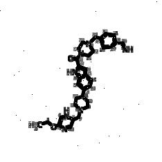 CCOC1=CNC(CN2CCC(c3ccc4cc(C(=O)N5CCN(Cc6ccc(C=N)cc6)CC5)[nH]c4c3)CC2)C=N1